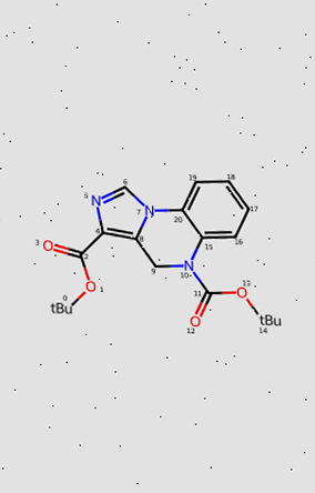 CC(C)(C)OC(=O)c1ncn2c1CN(C(=O)OC(C)(C)C)c1ccccc1-2